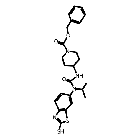 CC(C)N(C(=O)NC1CCN(C(=O)OCc2ccccc2)CC1)c1ccc2nc(S)sc2c1